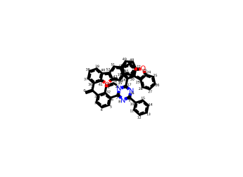 C=C(c1cccc(-c2nc(-c3ccccc3)nc(-c3cccc4oc5ccccc5c34)n2)c1/C=C\C)c1cccc2c1oc1cc3ccccc3cc12